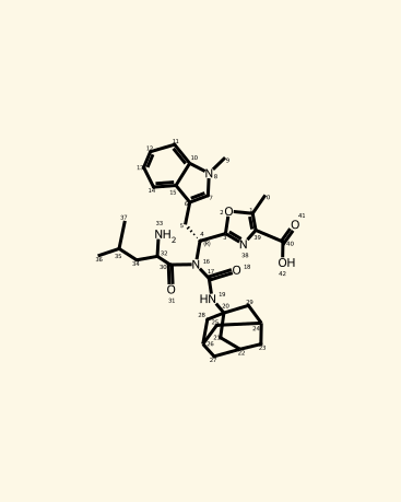 Cc1oc([C@@H](Cc2cn(C)c3ccccc23)N(C(=O)NC23CC4CC(CC(C4)C2)C3)C(=O)C(N)CC(C)C)nc1C(=O)O